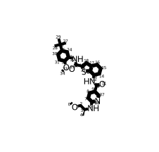 COC[C@H](C)Nc1ccc(C(=O)Nc2cccc3cc(C(=O)Nc4cc(C(C)(C)C)ccc4OC)sc23)cn1